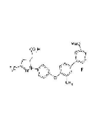 COc1ccc(F)c(-c2ccc(Oc3ccc(N4N=C(C(F)(F)F)CC4CC(=O)O)cc3)c(C)c2)c1